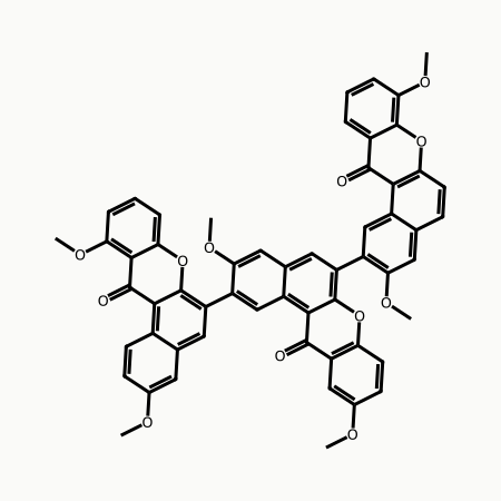 COc1ccc2c(c1)cc(-c1cc3c(cc1OC)cc(-c1cc4c(ccc5oc6c(OC)cccc6c(=O)c54)cc1OC)c1oc4ccc(OC)cc4c(=O)c13)c1oc3cccc(OC)c3c(=O)c12